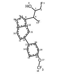 OC(CF)C(F)c1nnc2ccc(-c3ccc(OC(F)(F)F)cc3)cn12